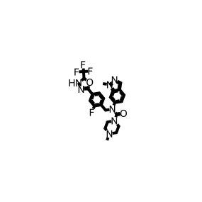 CN1CCN(C(=O)N(Cc2ccc(C3=NNC(C(F)(F)F)O3)cc2F)c2ccc3cnn(C)c3c2)CC1